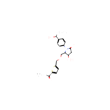 CCCCCC(O)c1ccc(N2C(=O)CC(O)C2COCc2ccc(C(=O)OC)s2)cc1